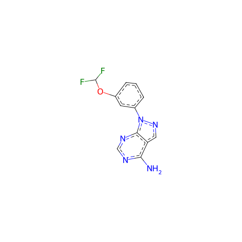 Nc1ncnc2c1cnn2-c1cccc(OC(F)F)c1